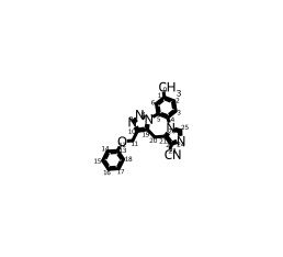 Cc1ccc2c(c1)-n1nnc(COc3ccccc3)c1Cc1c(C#N)ncn1-2